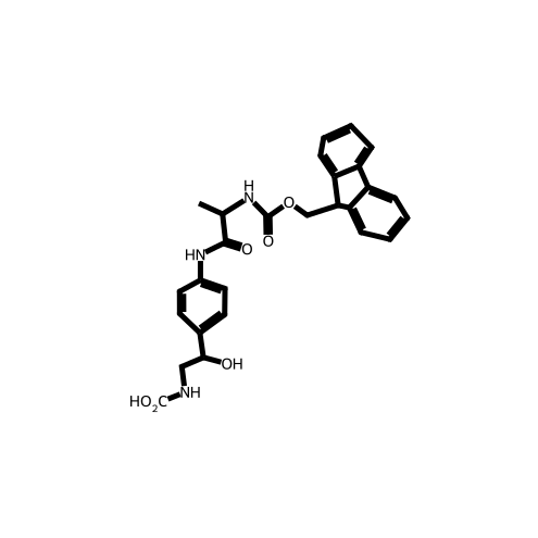 CC(NC(=O)OCC1c2ccccc2-c2ccccc21)C(=O)Nc1ccc(C(O)CNC(=O)O)cc1